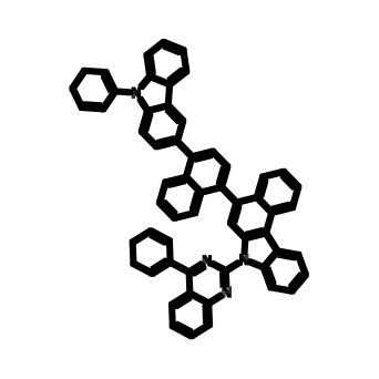 C1=CC(c2nc(-n3c4ccccc4c4c5ccccc5c(-c5ccc(-c6ccc7c(c6)c6ccccc6n7C6=CCCC=C6)c6ccccc56)cc43)nc3ccccc23)=CCC1